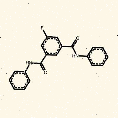 O=C(Nc1ccccc1)c1cc(F)cc(C(=O)Nc2ccccc2)c1